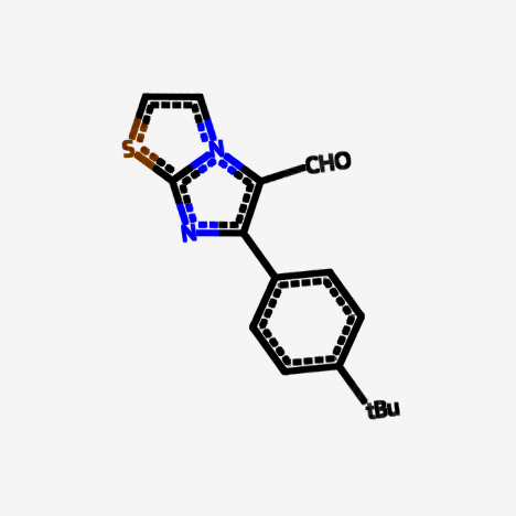 CC(C)(C)c1ccc(-c2nc3sccn3c2C=O)cc1